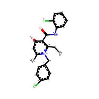 Cc1cc(=O)c(C(=O)Nc2ccccc2Cl)c(CC(C)C)n1Cc1ccc(Cl)cc1